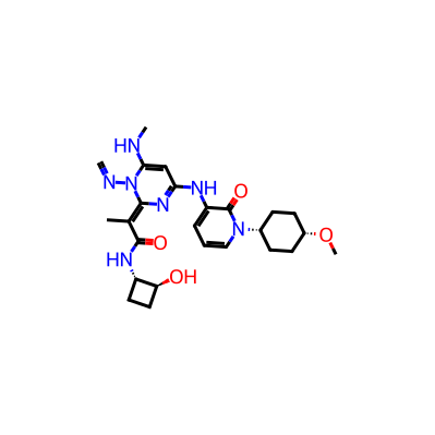 C=NN1C(NC)=CC(Nc2cccn([C@H]3CC[C@@H](OC)CC3)c2=O)=N/C1=C(/C)C(=O)N[C@H]1CC[C@@H]1O